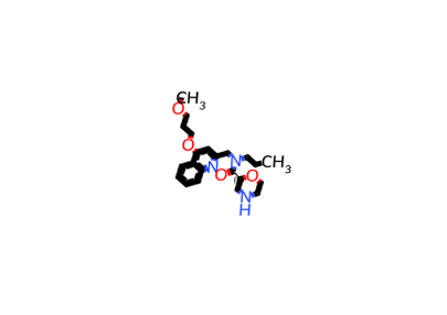 CCCN(Cc1cc(OCCCOC)c2ccccc2n1)C(=O)[C@H]1CNCCO1